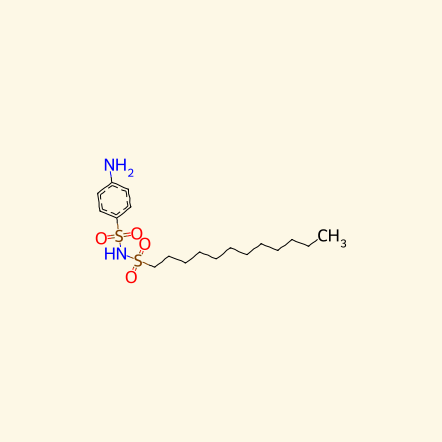 CCCCCCCCCCCCS(=O)(=O)NS(=O)(=O)c1ccc(N)cc1